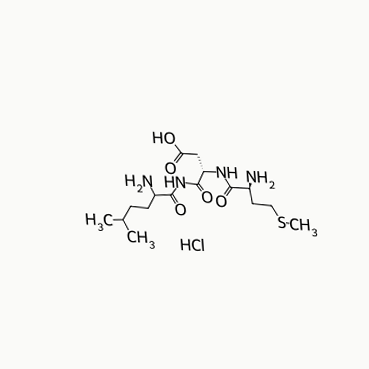 CSCC[C@H](N)C(=O)N[C@@H](CC(=O)O)C(=O)NC(=O)C(N)CCC(C)C.Cl